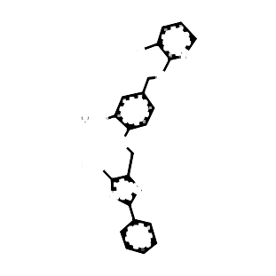 COc1cc(COc2ncccc2C=O)ccc1OCc1nc(-c2ccccc2)oc1C